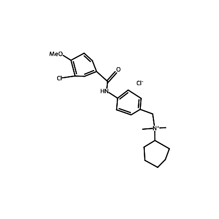 COc1ccc(C(=O)Nc2ccc(C[N+](C)(C)C3CCCCC3)cc2)cc1Cl.[Cl-]